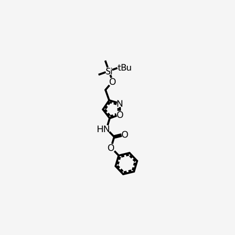 CC(C)(C)[Si](C)(C)OCc1cc(NC(=O)Oc2ccccc2)on1